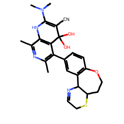 Cc1nc(C)c(-c2ccc3c(c2)C2N=CCSC2CCO3)c2c1NC(N(C)C)=C(C#N)C2(O)O